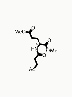 COC(=O)CC[C@H](NC(=O)CCC(C)=O)C(=O)OC